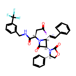 O=C(I)C[C@H](C(=O)NCc1cccc(C(F)(F)F)c1)N1C(=O)[C@@H](N2C(=O)OC[C@@H]2c2ccccc2)[C@H]1/C=C/c1ccccc1